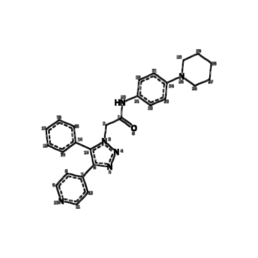 O=C(Cn1nnc(-c2ccncc2)c1-c1ccccc1)Nc1ccc(N2CCCCC2)cc1